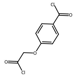 O=C(Cl)COc1ccc(C(=O)Cl)cc1